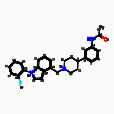 CC(C)C(=O)Nc1cccc(C2CCN(Cc3cccc4c3ccn4-c3ccccc3F)CC2)c1